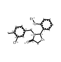 CCOc1ccccc1C1OCC(=O)N1Cc1ccc(C)c(Cl)c1